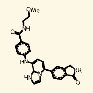 COCCNC(=O)c1ccc(NC2=CC=C(c3ccc4c(c3)CNC4=O)N3C=CNC23)cc1